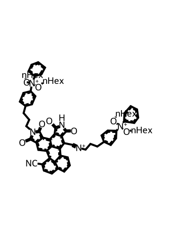 CCCCCCO[N+](OCCCCCC)(c1ccccc1)c1ccc(CCC[N+]#Cc2c3c(=O)[nH]c(=O)c3c3c4c(=O)n(CCCc5ccc([N+](OCCCCCC)(OCCCCCC)c6ccccc6)cc5)c(=O)c4cc4c5c(C#N)ccc6cccc(c2c43)c65)cc1